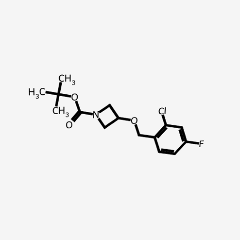 CC(C)(C)OC(=O)N1CC(OCc2ccc(F)cc2Cl)C1